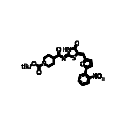 CC(C)(C)OC(=O)N1CCC(C(=O)/N=C2\NC(=O)/C(=C/c3ccc(-c4ccccc4[N+](=O)[O-])o3)S2)CC1